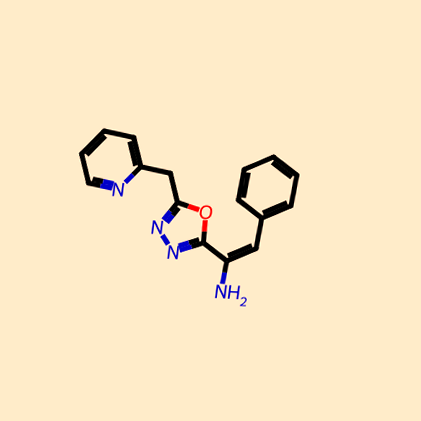 N/C(=C/c1ccccc1)c1nnc(Cc2ccccn2)o1